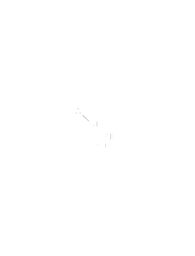 [AlH3].[Cu].[SiH3][W]